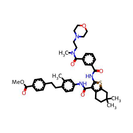 COC(=O)c1ccc(CCc2ccc(NC(=O)c3c(NC(=O)c4cccc(C(=O)N(C)CCN5CCOCC5)c4)sc4c3CCC(C)(C)C4)cc2C)cc1